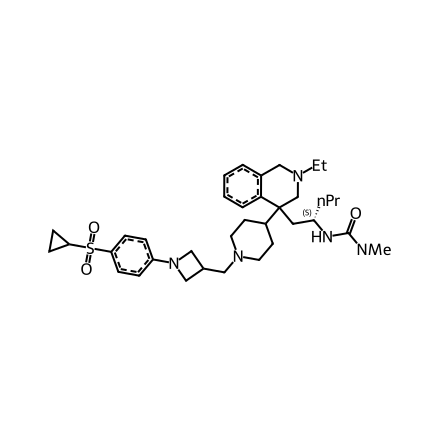 CCC[C@@H](CC1(C2CCN(CC3CN(c4ccc(S(=O)(=O)C5CC5)cc4)C3)CC2)CN(CC)Cc2ccccc21)NC(=O)NC